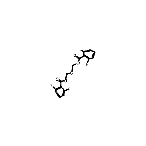 O=C(OCOCOC(=O)c1c(F)cccc1F)c1c(F)cccc1F